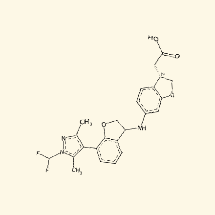 Cc1nn(C(F)F)c(C)c1-c1cccc2c1OCC2Nc1ccc2c(c1)OC[C@H]2CC(=O)O